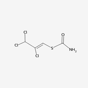 NC(=O)SC=C(Cl)C(Cl)Cl